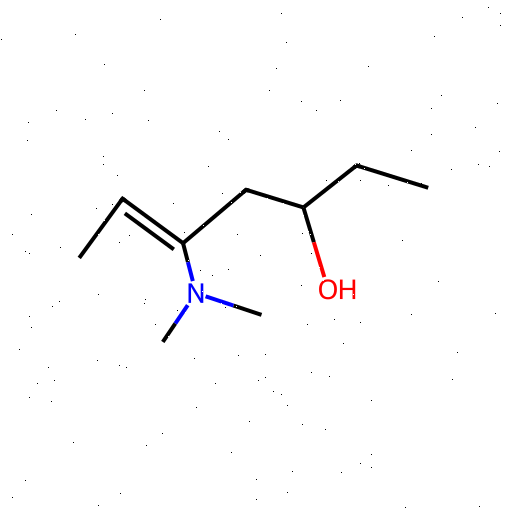 CC=C(CC(O)CC)N(C)C